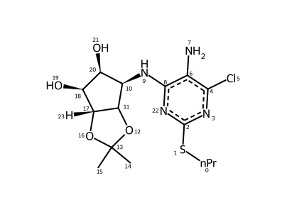 CCCSc1nc(Cl)c(N)c(N[C@H]2C3OC(C)(C)O[C@@H]3[C@@H](O)[C@H]2O)n1